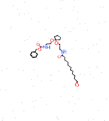 O=CCCCCCCCCCCC(=O)NCCOC1(OCCNC(=O)OCc2ccccc2)CCCC1